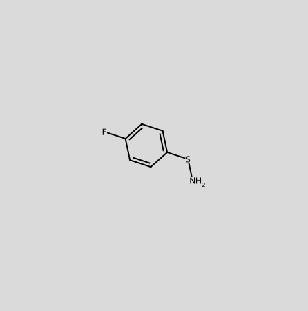 NSc1ccc(F)cc1